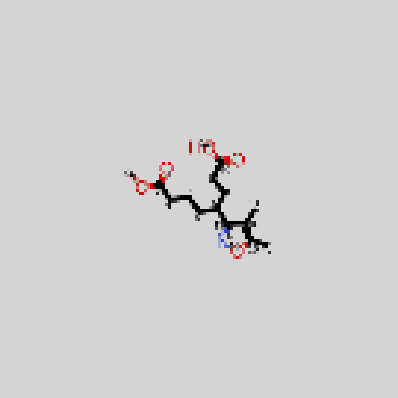 COC(=O)CCCC(CCC(=O)O)c1noc(C)c1C